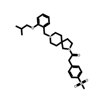 CC(C)COc1ccccc1CN1CCC2(CC1)CCN(C(=O)Cc1ccc(S(C)(=O)=O)cc1)C2